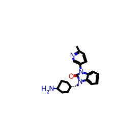 Cc1ccc(-n2c(=O)n(C[C@H]3CC[C@H](N)CC3)c3ccccc32)cn1